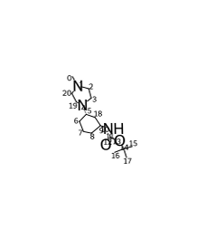 CN1CCN([C@H]2CCC[C@H](NC(=O)OC(C)(C)C)C2)CC1